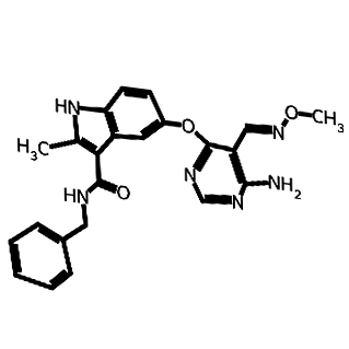 CON=Cc1c(N)ncnc1Oc1ccc2[nH]c(C)c(C(=O)NCc3ccccc3)c2c1